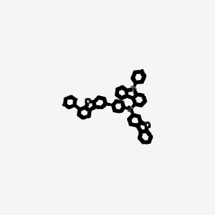 c1ccc(-c2cccc3c2oc2ccc(-c4ccc(N(c5ccc6c(c5)oc5ccccc56)c5cccc6c5c5ccccc5n6-c5ccccc5)cc4)cc23)cc1